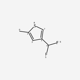 Cc1cc(C(F)F)cs1